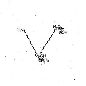 CCCCCCCCCCCCCCCCCCOC(CN(C)C(C)O)OCCCCCCCCCCCCCCCCCC.COOS(=O)(=O)O